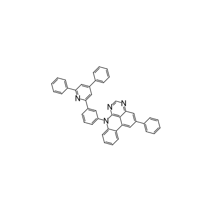 c1ccc(-c2cc(-c3ccccc3)nc(-c3cccc(N4c5ccccc5-c5cc(-c6ccccc6)cc6ncnc4c56)c3)c2)cc1